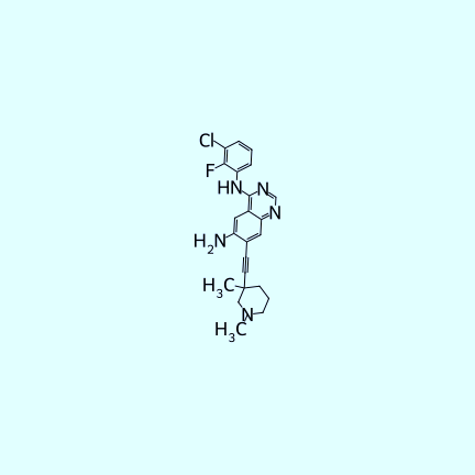 CN1CCCC(C)(C#Cc2cc3ncnc(Nc4cccc(Cl)c4F)c3cc2N)C1